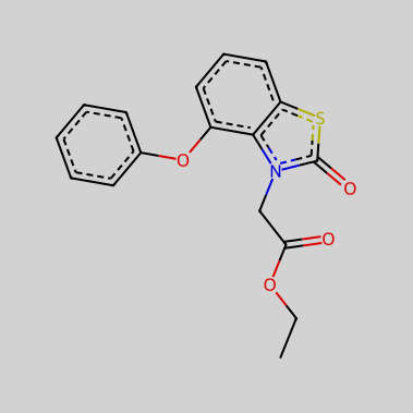 CCOC(=O)Cn1c(=O)sc2cccc(Oc3ccccc3)c21